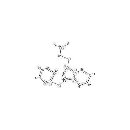 CN(C)CCc1c2n(c3ccccc13)Cc1ccccc1-2